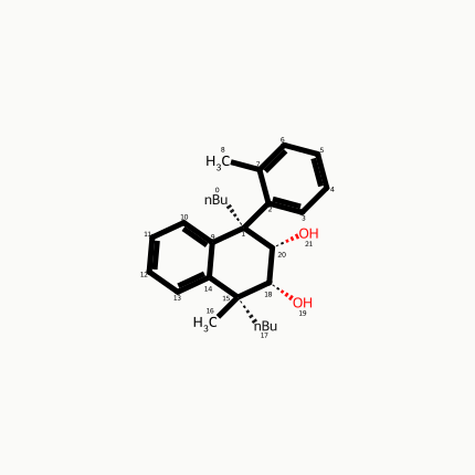 CCCC[C@@]1(c2ccccc2C)c2ccccc2[C@@](C)(CCCC)[C@@H](O)[C@H]1O